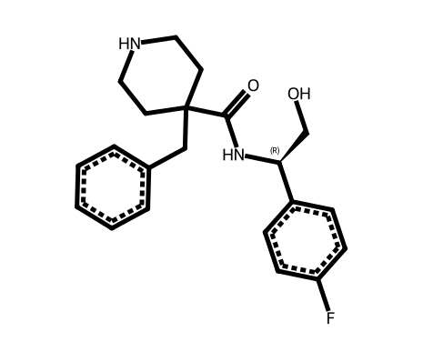 O=C(N[C@@H](CO)c1ccc(F)cc1)C1(Cc2ccccc2)CCNCC1